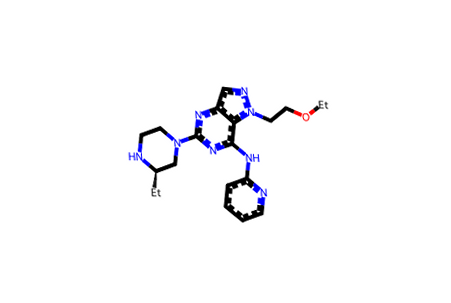 CCOCCn1ncc2nc(N3CCN[C@H](CC)C3)nc(Nc3ccccn3)c21